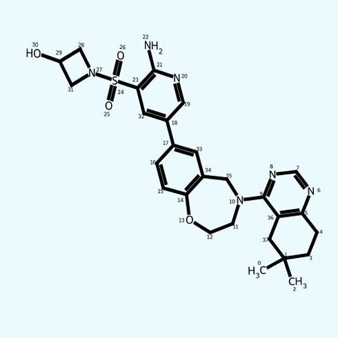 CC1(C)CCc2ncnc(N3CCOc4ccc(-c5cnc(N)c(S(=O)(=O)N6CC(O)C6)c5)cc4C3)c2C1